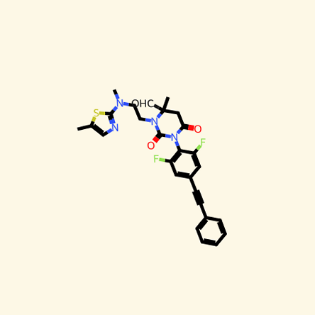 Cc1cnc(N(C)CCN2C(=O)N(c3c(F)cc(C#Cc4ccccc4)cc3F)C(=O)CC2(C)C=O)s1